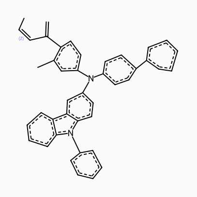 C=C(/C=C\C)c1ccc(N(c2ccc(-c3ccccc3)cc2)c2ccc3c(c2)c2ccccc2n3-c2ccccc2)cc1C